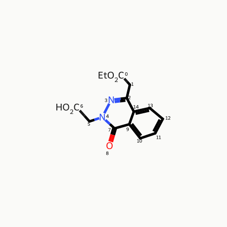 CCOC(=O)Cc1nn(CC(=O)O)c(=O)c2ccccc12